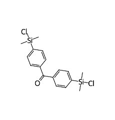 C[Si](C)(Cl)c1ccc(C(=O)c2ccc([Si](C)(C)Cl)cc2)cc1